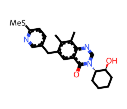 CSc1ccc(Cc2cc3c(=O)n([C@H]4CCCC[C@@H]4O)cnc3c(C)c2C)cn1